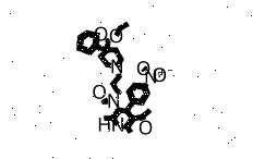 CCOC(=O)C1(c2ccccc2)CCN(CCCN(C=O)C2=C(C)NC(C)=C(C(C)=O)C2c2ccc([N+](=O)[O-])cc2)CC1